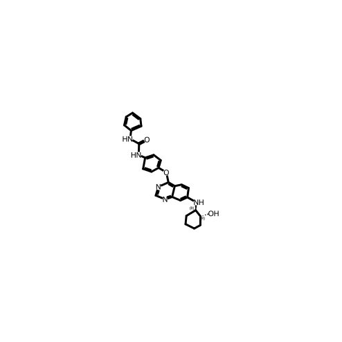 O=C(Nc1ccccc1)Nc1ccc(Oc2ncnc3cc(N[C@@H]4CCCC[C@H]4O)ccc23)cc1